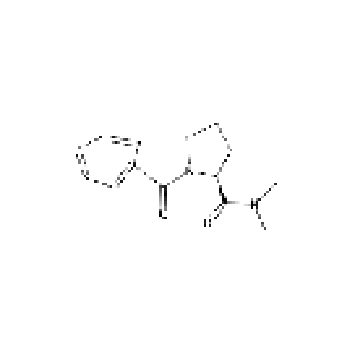 CN(C)C(=O)[C@@H]1CCCN1C(=O)c1ccccc1